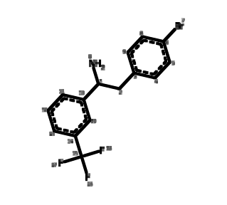 NC(Cc1ccc(Br)cc1)c1cccc(C(F)(F)F)c1